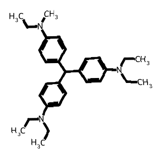 CCN(C)c1ccc(C(c2ccc(N(CC)CC)cc2)c2ccc(N(CC)CC)cc2)cc1